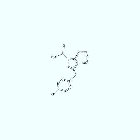 O=C(O)c1cn(Cc2ccc(Cl)cc2)c2ccccc12